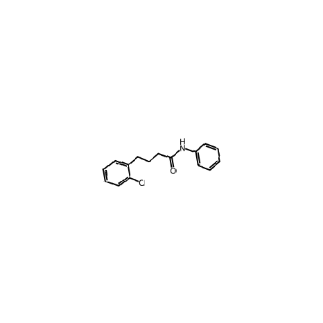 O=C(CCCc1ccccc1Cl)Nc1ccccc1